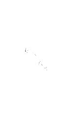 Fc1ccc2c(C3CCN(CCCOC(=S)Nc4ccc5c(c4)OCO5)CC3)noc2c1